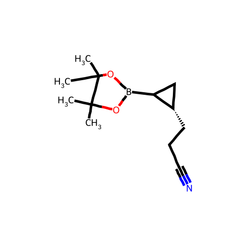 CC1(C)OB(C2C[C@@H]2CCC#N)OC1(C)C